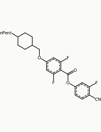 CCCCCC1CCC(COc2cc(F)c(C(=O)Oc3ccc(C#N)c(F)c3)c(F)c2)CC1